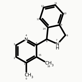 Cc1ccnc([C]2NCc3ccccc32)c1C